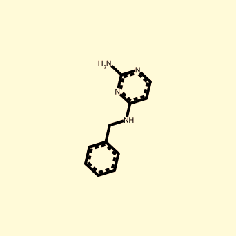 Nc1nccc(NCc2ccccc2)n1